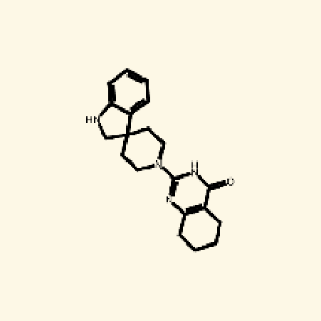 O=c1[nH]c(N2CCC3(CC2)CNc2ccccc23)nc2c1CCCC2